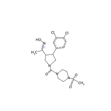 C/C(=N\O)C1CN(C(=O)N2CCN(S(C)(=O)=O)CC2)CC1c1ccc(Cl)c(Cl)c1